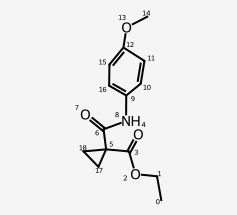 CCOC(=O)C1(C(=O)Nc2ccc(OC)cc2)CC1